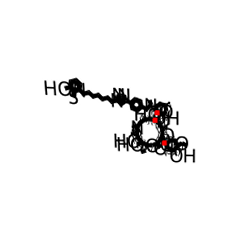 CC[C@H]1OC(=O)[C@H](C)[C@@H](O[C@H]2C[C@@](C)(OC)[C@@H](O)[C@H](C)O2)[C@H](C)[C@@H](O[C@@H]2O[C@H](C)C[C@H](N(C)Cc3ccc(-c4cn(CCCCCCCn5cccc(O)c5=S)nn4)cc3)[C@H]2O)[C@](C)(O)C[C@@H](C)CN(C)[C@H](C)[C@@H](O)[C@]1(C)O